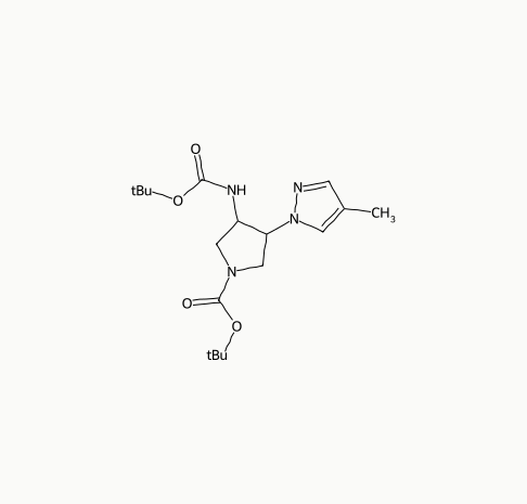 Cc1cnn(C2CN(C(=O)OC(C)(C)C)CC2NC(=O)OC(C)(C)C)c1